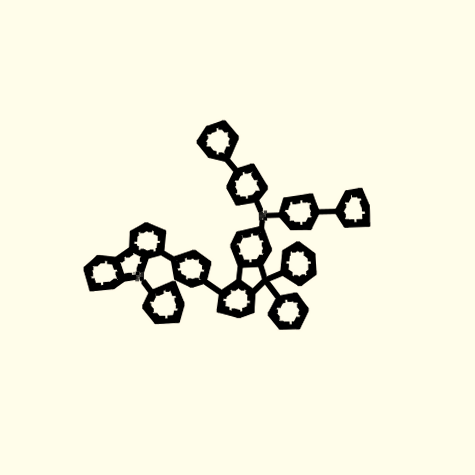 c1ccc(-c2ccc(N(c3ccc(-c4ccccc4)cc3)c3ccc4c(c3)C(c3ccccc3)(c3ccccc3)c3cccc(-c5ccc(-c6cccc7c8ccccc8n(-c8ccccc8)c67)cc5)c3-4)cc2)cc1